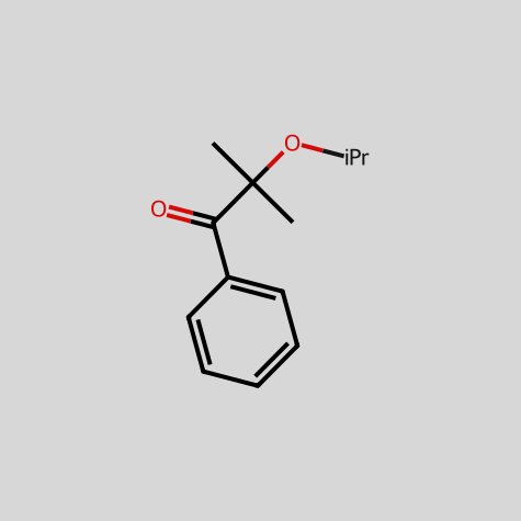 CC(C)OC(C)(C)C(=O)c1ccccc1